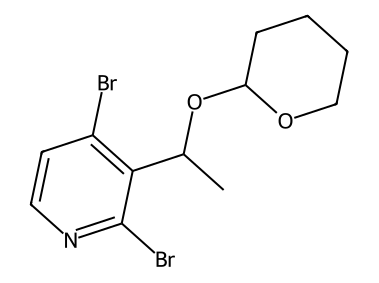 CC(OC1CCCCO1)c1c(Br)ccnc1Br